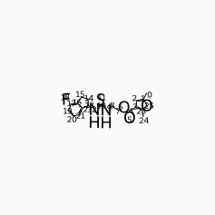 Cc1cc(C(=O)OCCNC(=S)NC2CCc3c(F)cccc32)c(C)o1